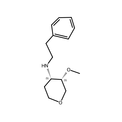 CO[C@@H]1COCC[C@@H]1NCCc1ccccc1